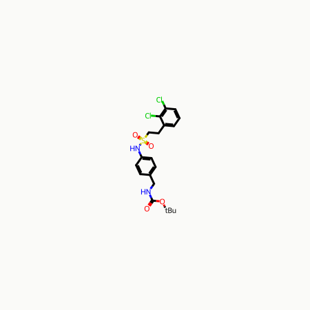 CC(C)(C)OC(=O)NCc1ccc(NS(=O)(=O)CCc2cccc(Cl)c2Cl)cc1